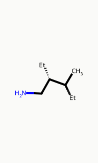 CCC(C)[C@@H](CC)CN